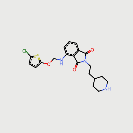 O=C1c2cccc(NCOc3ccc(Cl)s3)c2C(=O)N1CCC1CCNCC1